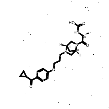 C[C@H](NC(=O)O)C(=O)N1C[C@@H]2C[C@H]1CN2CCCOc1ccc(C(=O)C2CC2)cc1